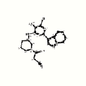 Cc1c(Cl)nc(-c2cnn3ccccc23)nc1N[C@@H]1CCCN(C(=O)CC#N)C1